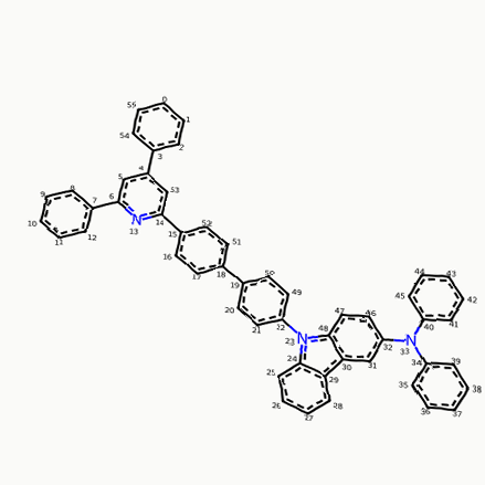 c1ccc(-c2cc(-c3ccccc3)nc(-c3ccc(-c4ccc(-n5c6ccccc6c6cc(N(c7ccccc7)c7ccccc7)ccc65)cc4)cc3)c2)cc1